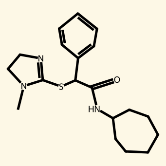 CN1CCN=C1SC(C(=O)NC1CCCCCC1)c1ccccc1